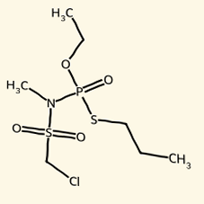 CCCSP(=O)(OCC)N(C)S(=O)(=O)CCl